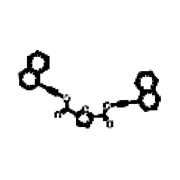 O=C(OC#Cc1cccc2ccccc12)c1ccc(C(=O)OC#Cc2cccc3ccccc23)o1